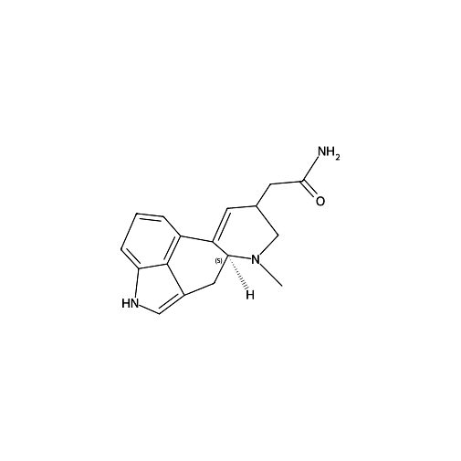 CN1CC(CC(N)=O)C=C2c3cccc4[nH]cc(c34)C[C@@H]21